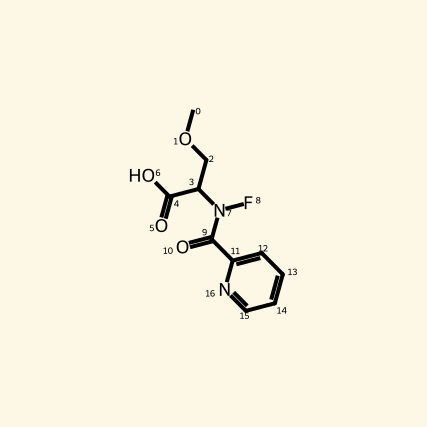 COCC(C(=O)O)N(F)C(=O)c1ccccn1